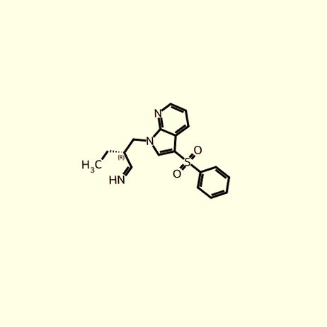 CC[C@@H](C=N)Cn1cc(S(=O)(=O)c2ccccc2)c2cccnc21